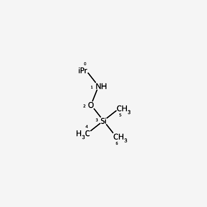 CC(C)NO[Si](C)(C)C